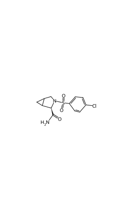 NC(=O)[C@H]1C2CC2CN1S(=O)(=O)c1ccc(Cl)cc1